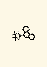 CC1(C)OB(c2cc3ccccc3c3ncccc23)OC1(C)C